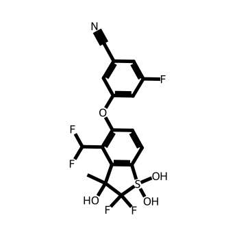 CC1(O)c2c(ccc(Oc3cc(F)cc(C#N)c3)c2C(F)F)S(O)(O)C1(F)F